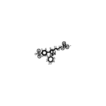 CS(=O)(=O)c1ccc(-c2cc(C=CCO[N+](=O)[O-])nn2C2CCCCC2)cc1